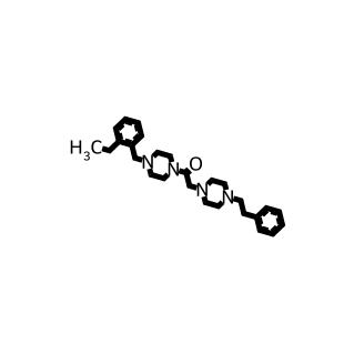 CCc1ccccc1CN1CCN(C(=O)CN2CCN(CCc3ccccc3)CC2)CC1